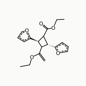 C=C(OCC)C1[C@@H](c2ccco2)C(C(=O)OCC)[C@@H]1c1ccco1